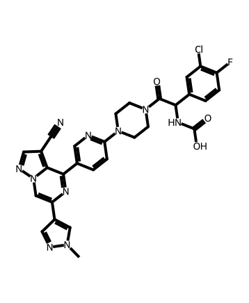 Cn1cc(-c2cn3ncc(C#N)c3c(-c3ccc(N4CCN(C(=O)C(NC(=O)O)c5ccc(F)c(Cl)c5)CC4)nc3)n2)cn1